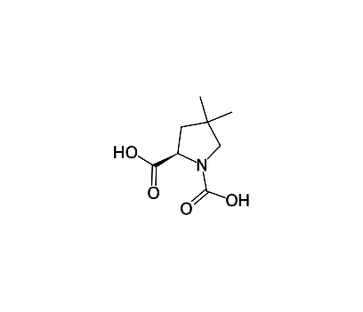 CC1(C)C[C@H](C(=O)O)N(C(=O)O)C1